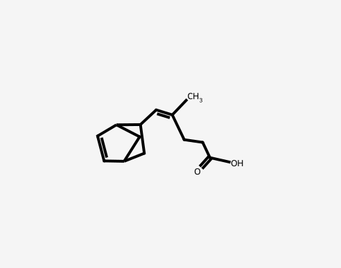 CC(=CC1CC2C=CC1C2)CCC(=O)O